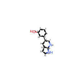 Oc1cccc(-c2cnc3[nH]ccc3c2)c1